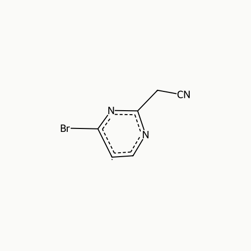 N#CCc1nc[c]c(Br)n1